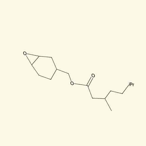 CC(C)CCC(C)CC(=O)OCC1CCC2OC2C1